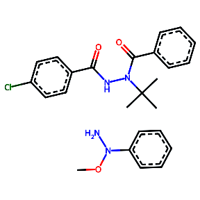 CC(C)(C)N(NC(=O)c1ccc(Cl)cc1)C(=O)c1ccccc1.CON(N)c1ccccc1